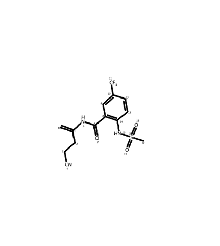 C=C(CCC#N)NC(=O)c1cc(C(F)(F)F)ccc1NS(C)(=O)=O